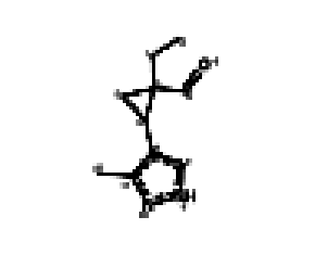 CCC1(C=O)CC1c1c[nH]nc1C